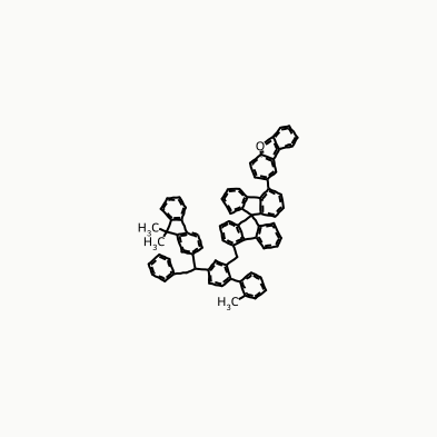 Cc1ccccc1-c1ccc(C(Cc2ccccc2)c2ccc3c(c2)C(C)(C)c2ccccc2-3)cc1Cc1cccc2c1-c1ccccc1C21c2ccccc2-c2c(-c3ccc4oc5ccccc5c4c3)cccc21